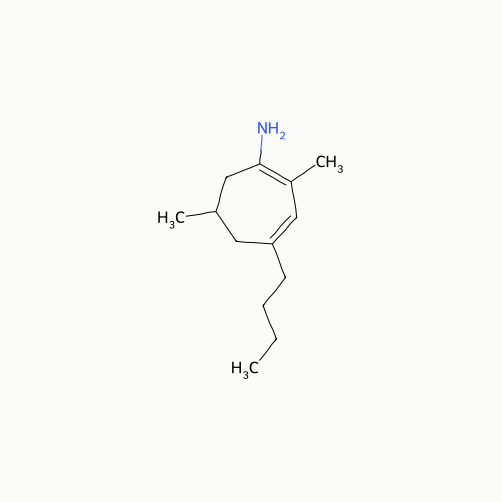 CCCCC1=CC(C)=C(N)CC(C)C1